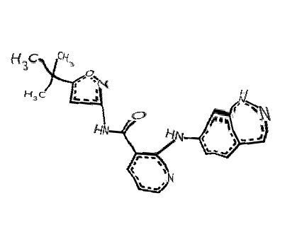 CC(C)(C)c1cc(NC(=O)c2cccnc2Nc2ccc3cn[nH]c3c2)no1